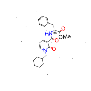 COC(=O)[C@@H](Cc1ccccc1)NC(=O)c1cccn(CC2CCCCC2)c1=O